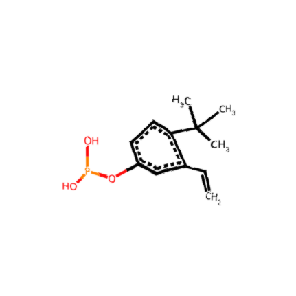 C=Cc1cc(OP(O)O)ccc1C(C)(C)C